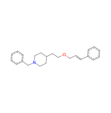 C(=Cc1ccccc1)COCCC1CCN(Cc2ccccc2)CC1